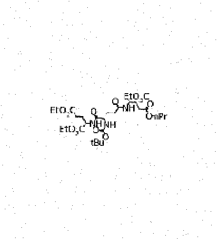 CCCOC(=O)CC[C@H](NC(=O)CC[C@H](NC(=O)OC(C)(C)C)C(=O)N[C@@H](CCC(=O)OCC)C(=O)OCC)C(=O)OCC